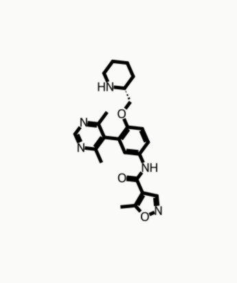 Cc1ncnc(C)c1-c1cc(NC(=O)c2cnoc2C)ccc1OC[C@H]1CCCCN1